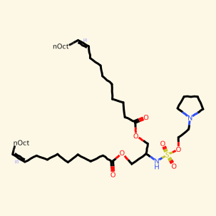 CCCCCCCC/C=C\CCCCCCCC(=O)OCC(COC(=O)CCCCCCC/C=C\CCCCCCCC)NS(=O)(=O)OCCN1CCCC1